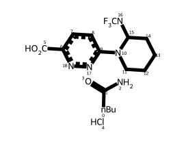 CCCCC(N)=O.Cl.O=C(O)c1ccc(N2CCCCC2NC(F)(F)F)nn1